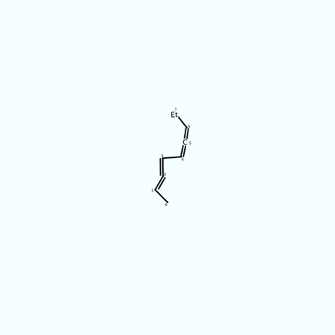 CC=C=CC=C=CCC